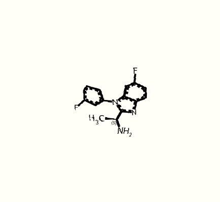 C[C@H](N)c1nc2ccc(F)cc2n1-c1cccc(F)c1